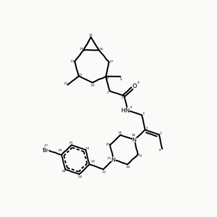 CC=C(CNC(=O)CC1(C)CC(C)CC2CC2C1)N1CCN(Cc2ccc(Br)cc2)CC1